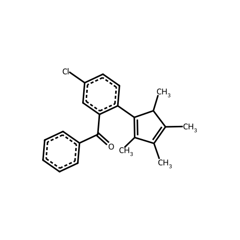 CC1=C(C)C(C)C(c2ccc(Cl)cc2C(=O)c2ccccc2)=C1C